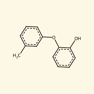 Cc1cccc(Oc2ccccc2O)c1